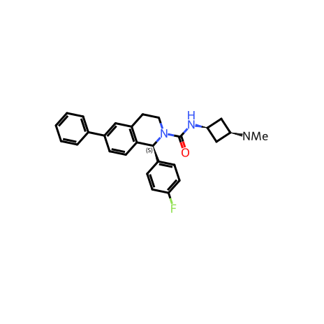 CN[C@H]1C[C@@H](NC(=O)N2CCc3cc(-c4ccccc4)ccc3[C@@H]2c2ccc(F)cc2)C1